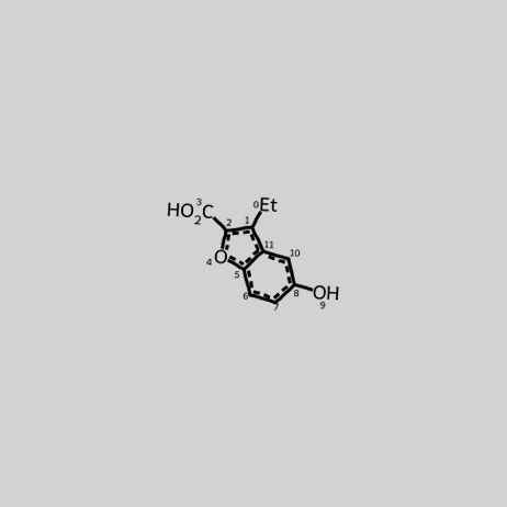 CCc1c(C(=O)O)oc2ccc(O)cc12